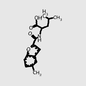 Cc1ccc2oc(C(=O)NC(CC(C)C)C(=O)O)cc2c1